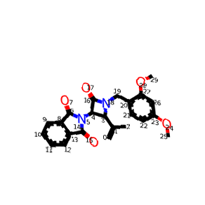 C=C(C)C1C(N2C(=O)c3ccccc3C2=O)C(=O)N1Cc1ccc(OC)cc1OC